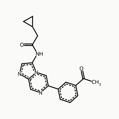 CC(=O)c1cccc(-c2cn3c(NC(=O)CC4CC4)cnc3cn2)c1